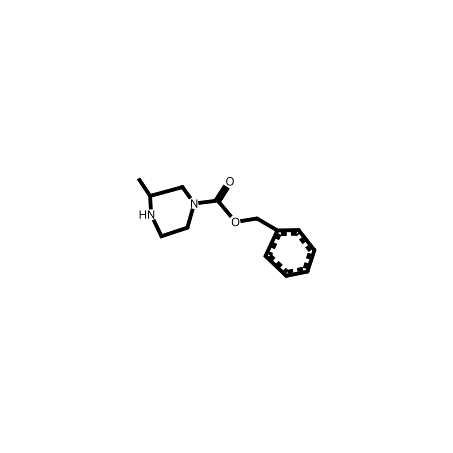 CC1CN(C(=O)OCc2ccccc2)CCN1